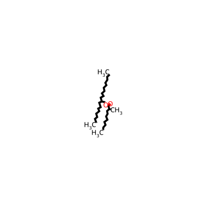 CCCCCCCCCCCC(CCCCCCCCC)COC(=O)C(C)CCCCCCCCC